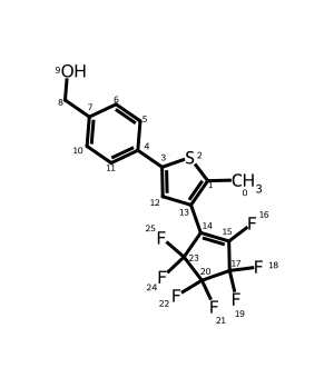 Cc1sc(-c2ccc(CO)cc2)cc1C1=C(F)C(F)(F)C(F)(F)C1(F)F